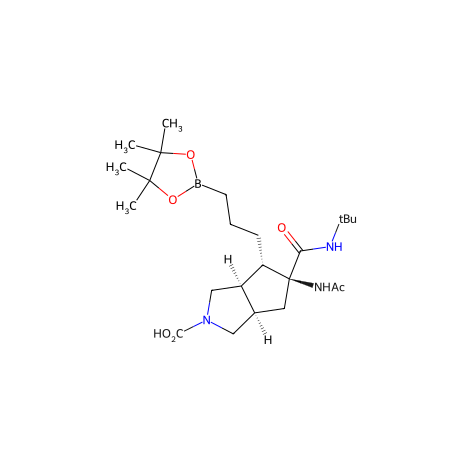 CC(=O)N[C@@]1(C(=O)NC(C)(C)C)C[C@H]2CN(C(=O)O)C[C@H]2[C@@H]1CCCB1OC(C)(C)C(C)(C)O1